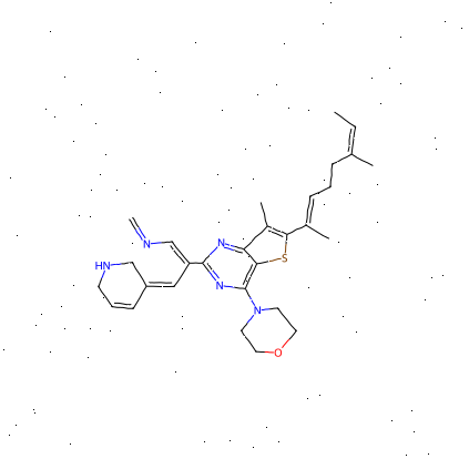 C=N/C=C(\C=C1\C=CCNC1)c1nc(N2CCOCC2)c2sc(/C(C)=C/CC/C(C)=C\C)c(C)c2n1